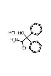 CCC(N)C(O)(c1ccccc1)c1ccccc1.Cl